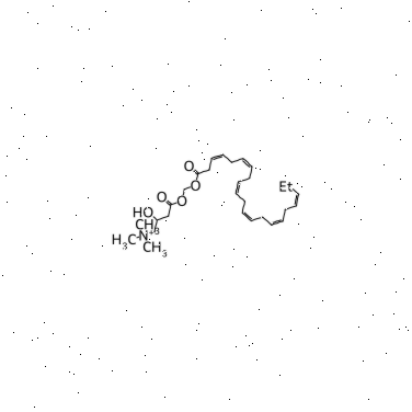 CC/C=C\C/C=C\C/C=C\C/C=C\C/C=C\C/C=C\CC(=O)OCOC(=O)CC(O)C[N+](C)(C)C